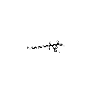 NCCOCCOCCNC(=O)C(CCC(N)=O)OC(N)=O